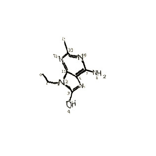 CCn1c(O)nc2c(N)nc(C)nc21